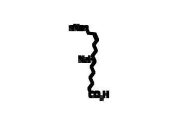 CCCCCCCCCC/C=C\CCCCCCCCCC(=O)O.[NaH]